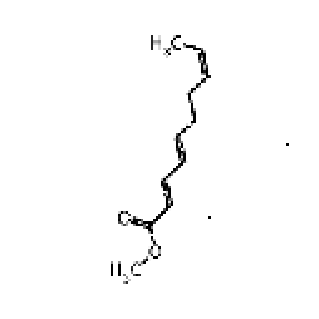 C/C=C\CCC=C/C=C/C(=O)OC